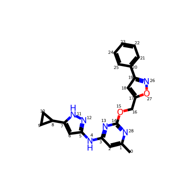 Cc1cc(Nc2cc(C3CC3)[nH]n2)nc(OCc2cc(-c3ccccc3)no2)n1